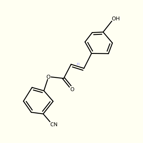 N#Cc1cccc(OC(=O)/C=C/c2ccc(O)cc2)c1